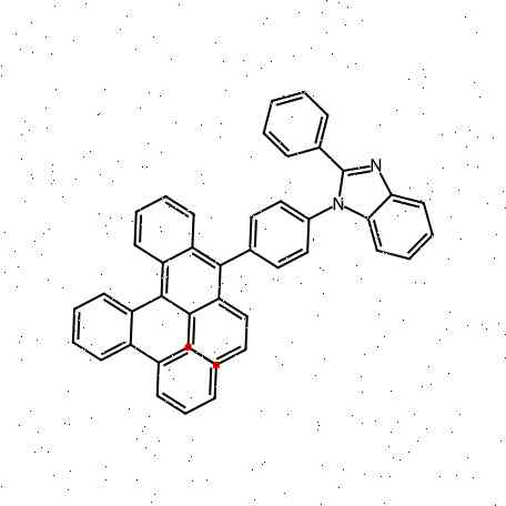 c1ccc(-c2ccccc2-c2c3ccccc3c(-c3ccc(-n4c(-c5ccccc5)nc5ccccc54)cc3)c3ccccc23)cc1